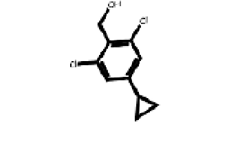 OCc1c(Cl)cc(C2CC2)cc1Cl